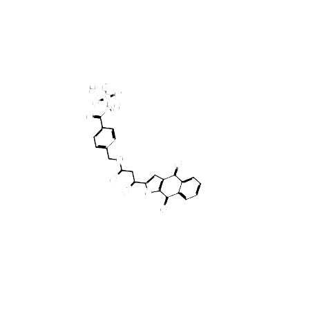 CS(=O)(=O)NC(=O)c1ccc(COC(=O)CC(=O)c2cc3c(o2)C(=O)c2ccccc2C3=O)cc1